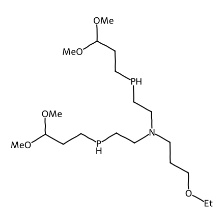 CCOCCCN(CCPCCC(OC)OC)CCPCCC(OC)OC